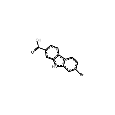 O=C(O)c1ccc2c(c1)[nH]c1cc(Br)ccc12